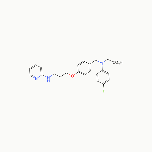 O=C(O)CN(Cc1ccc(OCCCNc2ccccn2)cc1)c1ccc(F)cc1